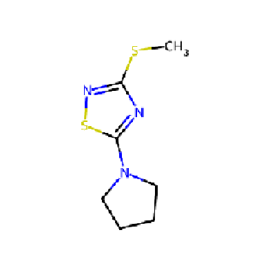 CSc1nsc(N2CCCC2)n1